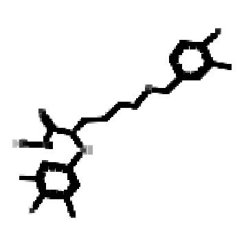 Cc1cc(COCCCC[C@@H](Nc2cc(C)c(F)c(C)c2)C(=O)NO)ccc1F